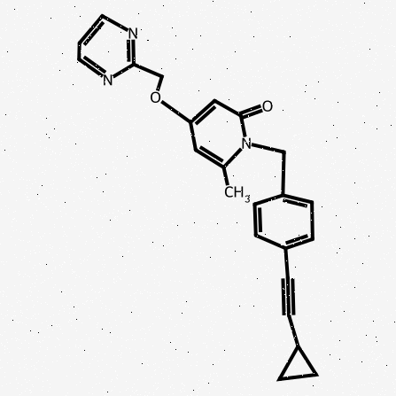 Cc1cc(OCc2ncccn2)cc(=O)n1Cc1ccc(C#CC2CC2)cc1